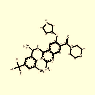 Cc1nc(N[C@H](C)c2cc(N)cc(C(F)(F)F)c2)c2cc(OC3CCOC3)c(C(=O)N3CCOCC3)cc2n1